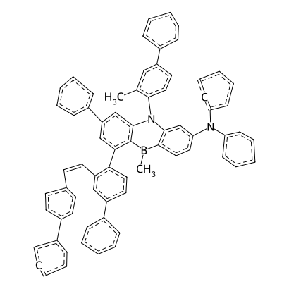 CB1c2ccc(N(c3ccccc3)c3ccccc3)cc2N(c2ccc(-c3ccccc3)cc2C)c2cc(-c3ccccc3)cc(-c3ccc(-c4ccccc4)cc3/C=C\c3ccc(-c4ccccc4)cc3)c21